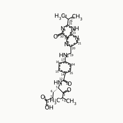 CC(C)C(=O)[C@H](CCC(=O)O)NC(=O)c1ccc(NCc2cnc3[nH]c(C(C)C)nc(=O)c3n2)cc1